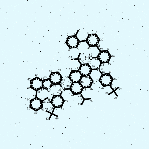 Cc1ccccc1-c1cccc(-c2cccc(N(c3ccc(C(C)(C)C)cc3)c3cc(C(C)C)c4ccc5c(N(c6ccc(C(C)(C)C)cc6)c6cccc7c6oc6c(-c8ccccc8C)cccc67)cc(C(C)C)c6ccc3c4c65)c2O)c1